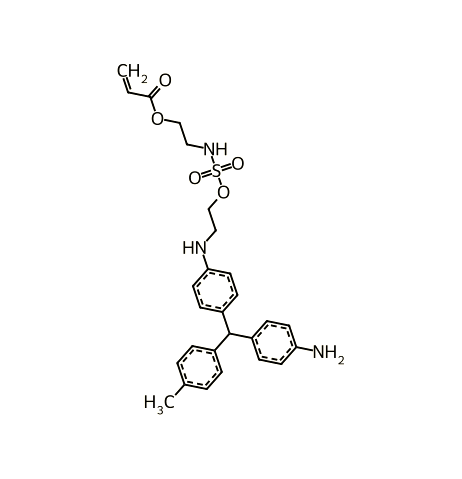 C=CC(=O)OCCNS(=O)(=O)OCCNc1ccc(C(c2ccc(C)cc2)c2ccc(N)cc2)cc1